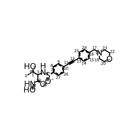 C[C@@H](O)C(N[S+]([O-])c1ccc(C#Cc2ccc(CN3CCOCC3)cc2)cc1)C(=O)NO